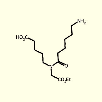 CCOC(=O)CN(CCCCC(=O)O)C(=O)CCCCCN